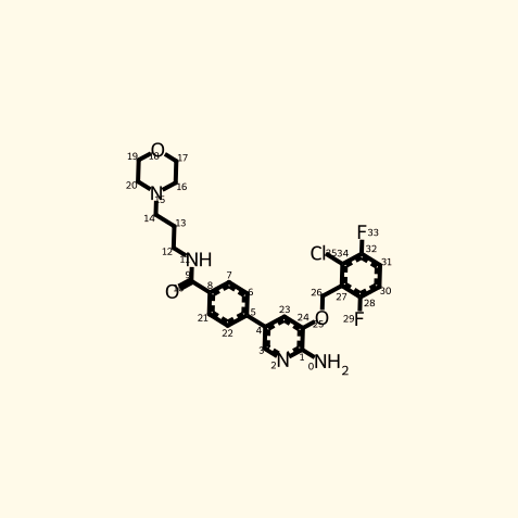 Nc1ncc(-c2ccc(C(=O)NCCCN3CCOCC3)cc2)cc1OCc1c(F)ccc(F)c1Cl